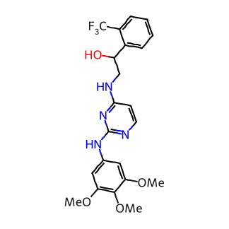 COc1cc(Nc2nccc(NCC(O)c3ccccc3C(F)(F)F)n2)cc(OC)c1OC